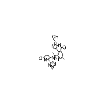 Cc1cc(C(C)Nc2ccc(Cl)nc2-c2ncn(C)n2)c2c(c1)c(=O)n(C)c1c2cnn1CCO